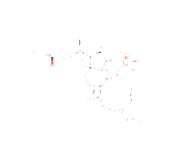 CC1CC[C@@H](O)CCCC(OP(=O)(O)O)C2[C@@H]1CCC1(C)C([C@H](C)CCC(=O)O)CC[C@@H]21